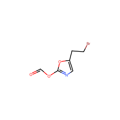 O=COc1ncc(CCBr)o1